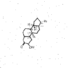 CC(C)[C@H]1CC[C@H]2[C@@H]3CCC4CC(=O)C(O)C[C@]4(C)[C@H]3CC[C@]12C